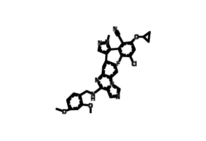 COc1ccc(CNc2nc3cc(-c4cnn(C)c4-c4c(F)c(Cl)cc(OC5CC5)c4C#N)ccc3n3cncc23)c(OC)c1